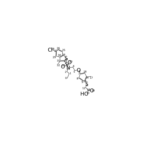 CCCN(CCOc1ccc(SCC(=O)O)c(C)c1)S(=O)(=O)c1sc2ccc(Cl)cc2c1C